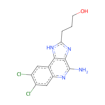 Nc1nc2cc(Cl)c(Cl)cc2c2[nH]c(CCCO)nc12